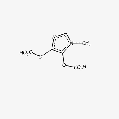 Cn1cnc(OC(=O)O)c1OC(=O)O